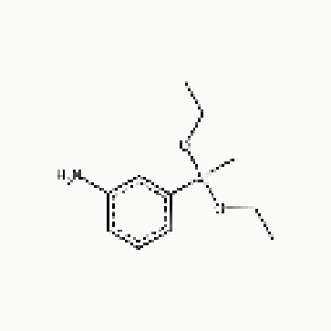 CCO[Si](C)(OCC)c1cccc(N)c1